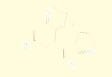 CNC(=O)CC(c1cccnc1)c1c[nH]c2nccc(Cl)c12